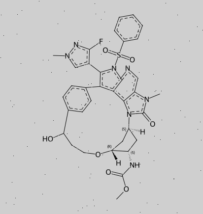 COC(=O)N[C@H]1C[C@H]2C[C@H]1OCCC(O)c1ccc(cc1)-c1c(-c3cn(C)nc3F)n(S(=O)(=O)c3ccccc3)c3ncc4c(c13)n2c(=O)n4C